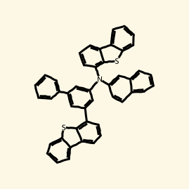 c1ccc(-c2cc(-c3cccc4c3sc3ccccc34)cc(N(c3ccc4ccccc4c3)c3cccc4c3sc3ccccc34)c2)cc1